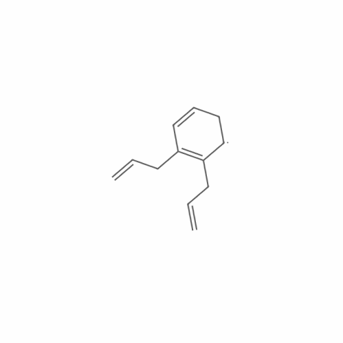 C=CCC1=C(CC=C)C=CC[CH]1